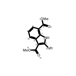 CCCc1[nH]c2c(C(=O)OC)cccc2c1C(=O)OC